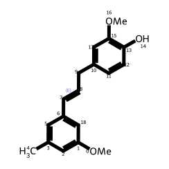 COc1cc(C)cc(/C=C/Cc2ccc(O)c(OC)c2)c1